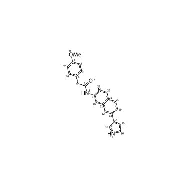 COc1ccc(CC(=O)Nc2cc3cc(-c4cc[nH]c4)ccc3cn2)cc1